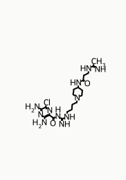 CC(=N)NCCC(=O)NC1CCN(CCCCNC(=N)NC(=O)c2nc(Cl)c(N)nc2N)CC1